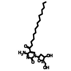 CCCCCCCCCCCCCCCC(=O)c1cn([C@H]2CC(O)[C@@H](CO)O2)c(=O)nc1N